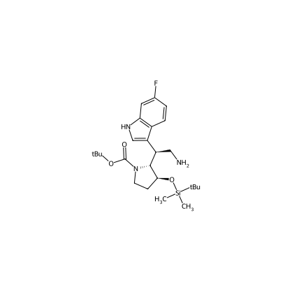 CC(C)(C)OC(=O)N1CC[C@H](O[Si](C)(C)C(C)(C)C)[C@H]1[C@H](CN)c1c[nH]c2cc(F)ccc12